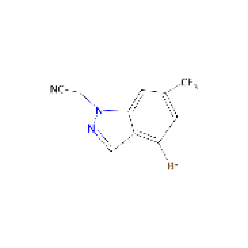 N#CCn1ncc2c(Br)cc(C(F)(F)F)cc21